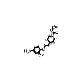 CC(C)c1cc(N)ccc1OCCC1CCN(C(=O)OC(C)(C)C)CC1